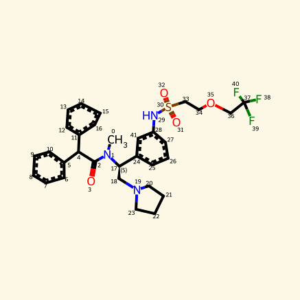 CN(C(=O)C(c1ccccc1)c1ccccc1)[C@H](CN1CCCC1)c1cccc(NS(=O)(=O)CCOCC(F)(F)F)c1